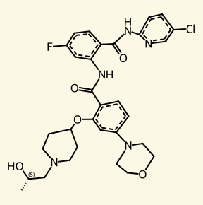 C[C@H](O)CN1CCC(Oc2cc(N3CCOCC3)ccc2C(=O)Nc2cc(F)ccc2C(=O)Nc2ccc(Cl)cn2)CC1